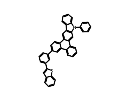 c1ccc(-n2c3ccccc3c3cc4c5ccc(-c6cccc(-c7cc8ccccc8s7)c6)cc5c5ccccc5c4cc32)cc1